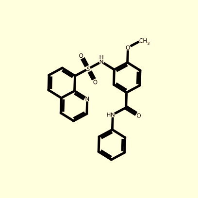 COc1ccc(C(=O)Nc2ccccc2)cc1NS(=O)(=O)c1cccc2cccnc12